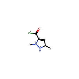 CC1C=C(C(=O)Cl)N(C)N1